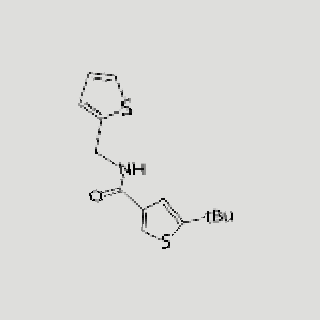 CC(C)(C)c1cc(C(=O)NCc2cccs2)cs1